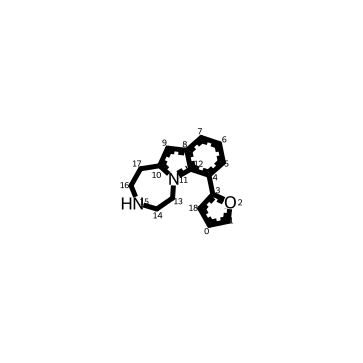 c1coc(-c2cccc3cc4n(c23)CCNCC4)c1